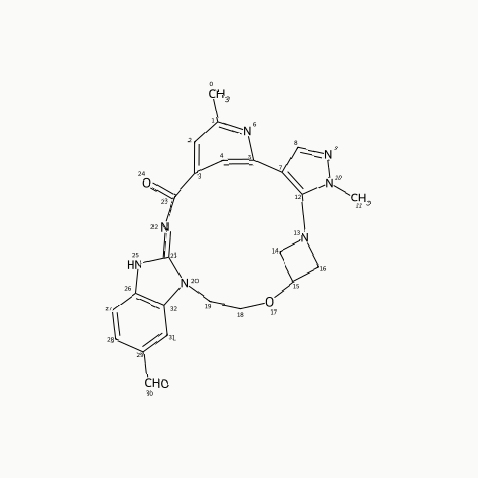 Cc1cc2cc(n1)-c1cnn(C)c1N1CC(C1)OCCN1C(=NC2=O)Nc2ccc(C=O)cc21